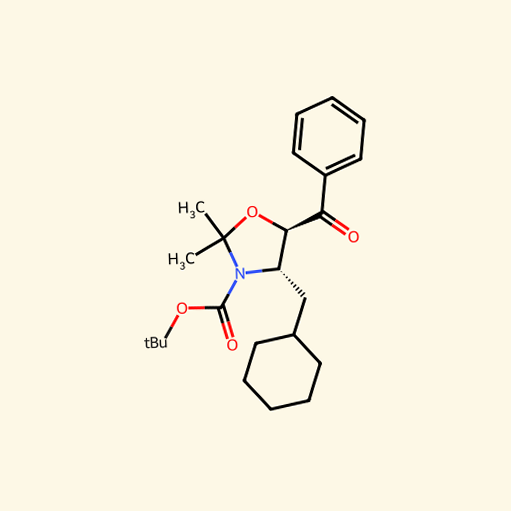 CC(C)(C)OC(=O)N1[C@@H](CC2CCCCC2)[C@H](C(=O)c2ccccc2)OC1(C)C